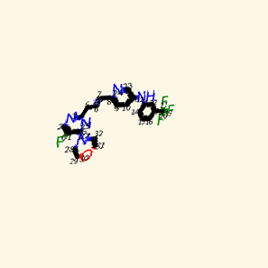 Fc1cnc(C/C=C/c2ccc(Nc3cccc(C(F)(F)F)c3)cn2)nc1N1CCOCC1